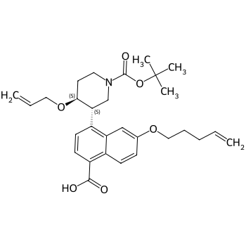 C=CCCCOc1ccc2c(C(=O)O)ccc([C@H]3CN(C(=O)OC(C)(C)C)CC[C@@H]3OCC=C)c2c1